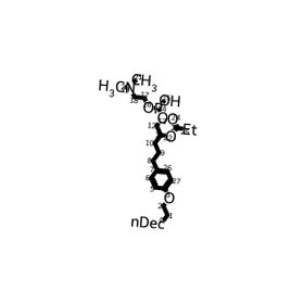 CCCCCCCCCCCCOc1ccc(CCCC(COP(O)OCCN(C)C)OC(=O)CC)cc1